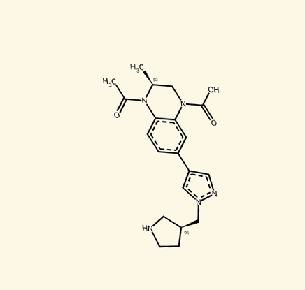 CC(=O)N1c2ccc(-c3cnn(C[C@H]4CCNC4)c3)cc2N(C(=O)O)C[C@@H]1C